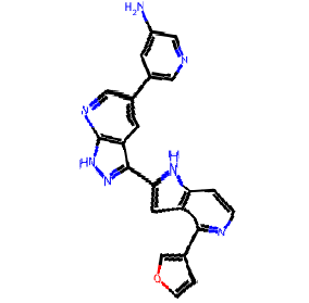 Nc1cncc(-c2cnc3[nH]nc(-c4cc5c(-c6ccoc6)nccc5[nH]4)c3c2)c1